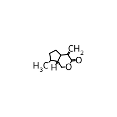 C=C1C(=O)OC[C@@H]2C(C)CCC12